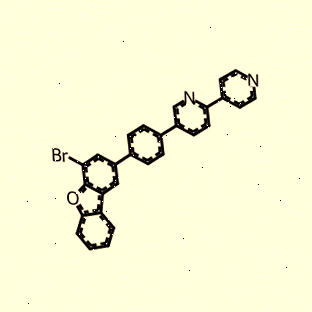 Brc1cc(-c2ccc(-c3ccc(-c4ccncc4)nc3)cc2)cc2c1oc1ccccc12